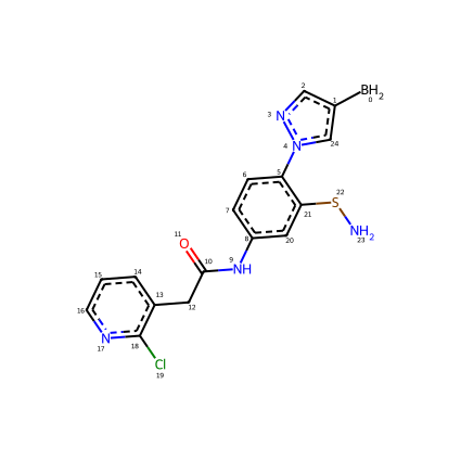 Bc1cnn(-c2ccc(NC(=O)Cc3cccnc3Cl)cc2SN)c1